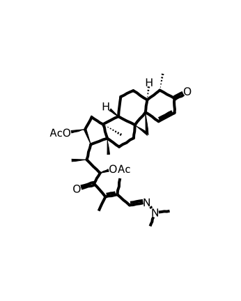 CC(=O)O[C@H]1C[C@@]2(C)[C@@H]3CC[C@H]4[C@H](C)C(=O)C=C[C@@]45C[C@@]35CC[C@]2(C)[C@H]1[C@H](C)[C@@H](OC(C)=O)C(=O)/C(C)=C(C)/C=N/N(C)C